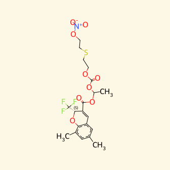 Cc1cc(C)c2c(c1)C=C(C(=O)OC(C)OC(=O)OCCSCCO[N+](=O)[O-])[C@@H](C(F)(F)F)O2